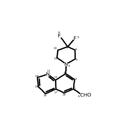 O=Cc1cc(N2CCC(F)(F)CC2)c2ncccc2c1